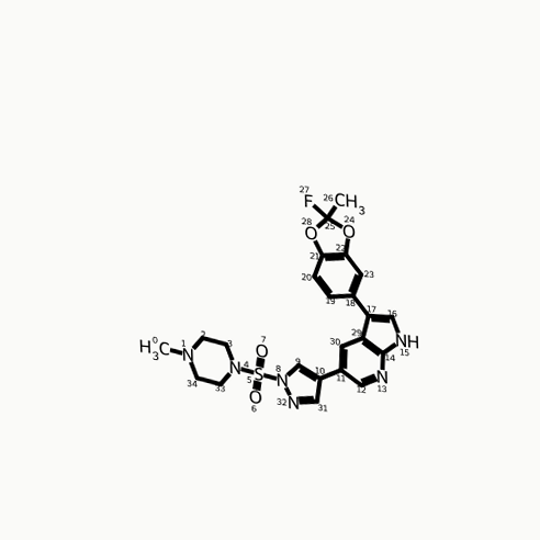 CN1CCN(S(=O)(=O)n2cc(-c3cnc4[nH]cc(-c5ccc6c(c5)OC(C)(F)O6)c4c3)cn2)CC1